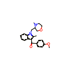 COc1ccc(C(=O)c2c(C)n(CC3COCCN3C)c3ccccc23)cc1